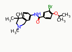 CC(C)Oc1ccc(C(=O)Nc2ccc3c(c2)CN(C)CC3(C)C)cc1Br